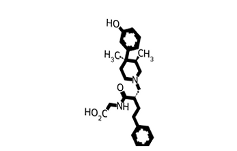 C[C@H]1CN(C[C@H](CCc2ccccc2)C(=O)NCC(=O)O)CC[C@@]1(C)c1cccc(O)c1